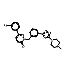 CN1CCN(c2nc(-c3cccc(Cn4nc(-c5cccc(Cl)c5)ccc4=O)c3)no2)CC1